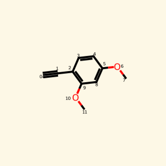 [C]#Cc1ccc(OC)cc1OC